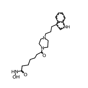 O=C(CCCCCC(=O)N1CCN(CCCc2c[nH]c3ccccc23)CC1)NO